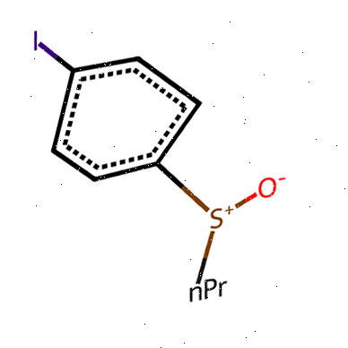 CCC[S+]([O-])c1ccc(I)cc1